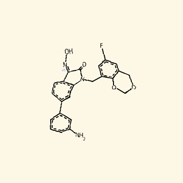 Nc1cccc(-c2ccc3c(c2)N(Cc2cc(F)cc4c2OCOC4)C(=O)/C3=N\O)c1